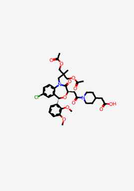 COc1cccc([C@H]2O[C@H](CC(=O)N3CCC(CC(=O)O)CC3)C(=O)N(CC(C)(COC(C)=O)COC(C)=O)c3ccc(Cl)cc32)c1OC